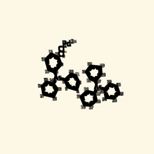 [Cl-].[Cl-].[Pd+2].c1ccc([As](c2ccccc2)c2ccccc2)cc1.c1ccc([As](c2ccccc2)c2ccccc2)cc1